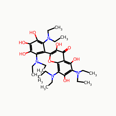 CCN(CC)c1c(O)c(O)c(O)c(N(CC)CC)c1-c1oc2c(N(CC)CC)c(O)c(N(CC)CC)c(O)c2c(=O)c1O